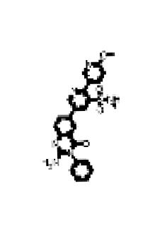 CNS(=O)(=O)c1cc(-c2ccc3nc(N)n(-c4ccccc4)c(=O)c3c2)cnc1-c1ccc(OC)nc1